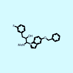 CNC(C(O)Cc1cccc(F)c1)n1ccc2cc(OCc3ccccc3)ccc21